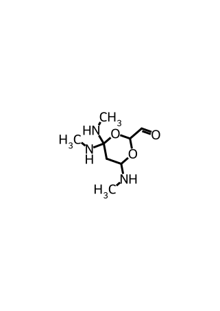 CNC1CC(NC)(NC)OC(C=O)O1